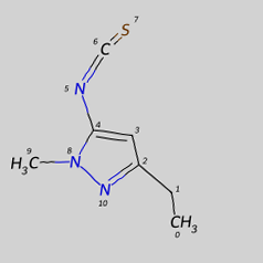 CCc1cc(N=C=S)n(C)n1